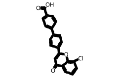 O=C(O)c1ccc(-c2ccc(-c3cc(=O)c4cccc(Cl)c4o3)cc2)cc1